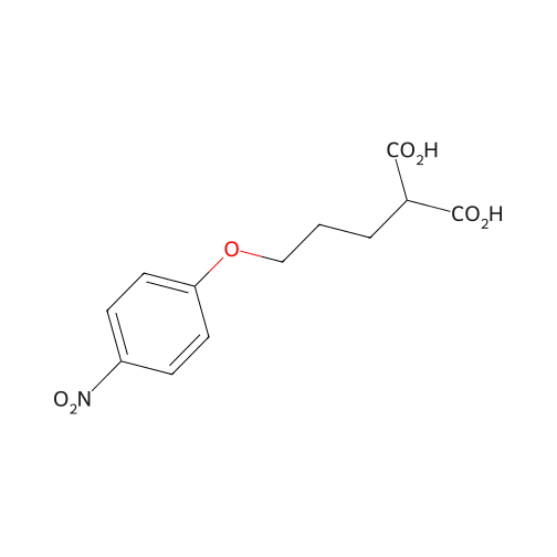 O=C(O)C(CCCOc1ccc([N+](=O)[O-])cc1)C(=O)O